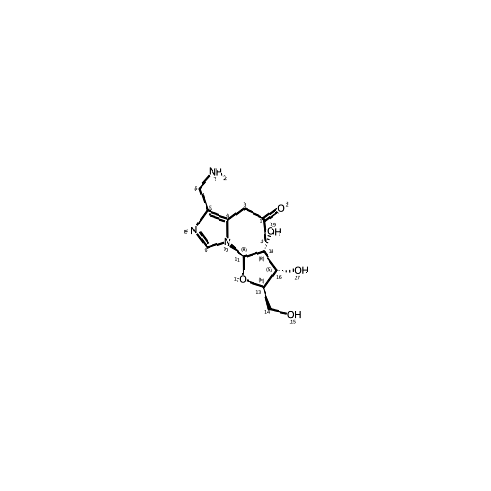 CC(=O)Cc1c(CN)ncn1[C@@H]1O[C@H](CO)[C@@H](O)[C@H]1O